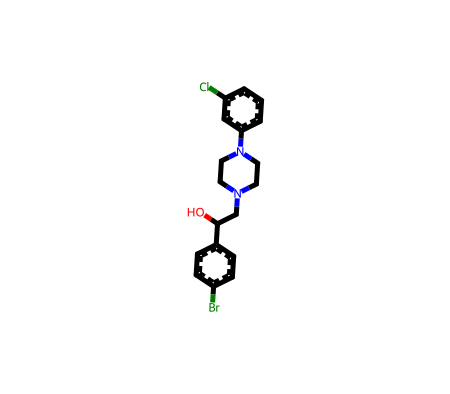 OC(CN1CCN(c2cccc(Cl)c2)CC1)c1ccc(Br)cc1